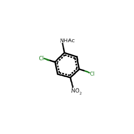 CC(=O)Nc1cc(Cl)c([N+](=O)[O-])cc1Cl